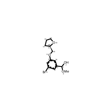 COC(O)c1cc(Br)cc(OC[C@H]2CCCO2)c1